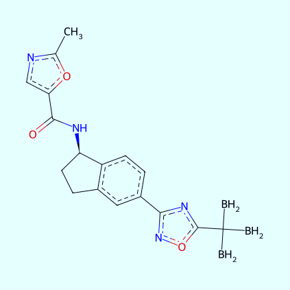 BC(B)(B)c1nc(-c2ccc3c(c2)CC[C@H]3NC(=O)c2cnc(C)o2)no1